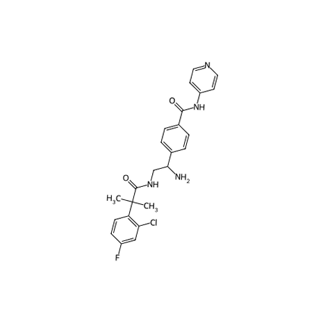 CC(C)(C(=O)NCC(N)c1ccc(C(=O)Nc2ccncc2)cc1)c1ccc(F)cc1Cl